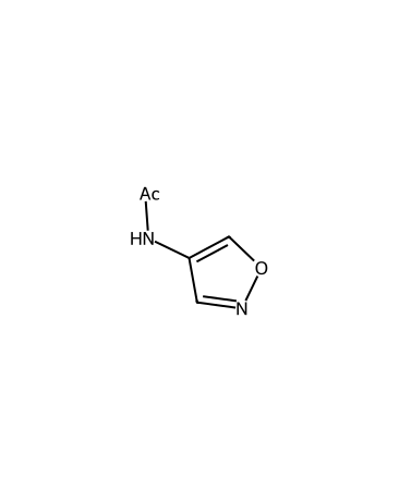 [CH2]C(=O)Nc1cnoc1